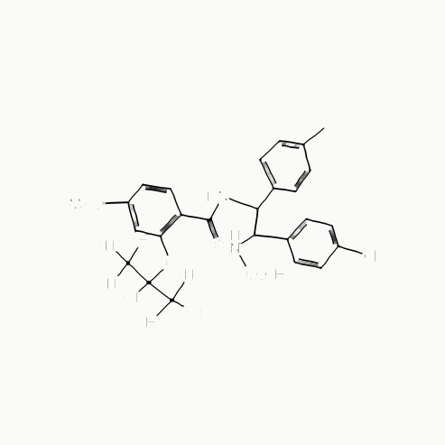 [2H]C([2H])([2H])C([2H])(Oc1cc(OC)ccc1C(=O)NC(c1ccc(Cl)cc1)C(NC(=O)O)c1ccc(Cl)cc1)C([2H])([2H])[2H]